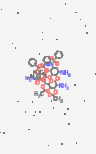 CC(=O)OCC1OC(OC2C(N)CC(NS(=O)(=O)c3ccccc3)C(OC(C)=O)C2OC2OC(CN)C(OC(=O)c3ccccc3)C2OC(=O)c2ccccc2)C(N)C(OC(C)=O)C1OC(C)=O